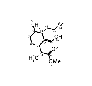 COC(=O)[C@H](C)[C@@H]1CC[C@@H](C)[C@H](CCC(C)=O)/C1=C\O